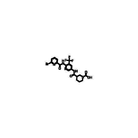 O=C(Nc1ncc(NC(=O)C2CCCN(C(=O)O)C2)cc1C(F)(F)F)c1cccc(Br)n1